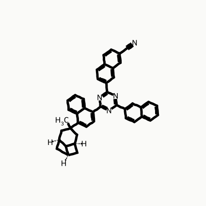 CC1(c2ccc(-c3nc(-c4ccc5ccccc5c4)nc(-c4ccc5ccc(C#N)cc5c4)n3)c3ccccc23)C[C@H]2C[C@H]3C[C@@H](C1)C32